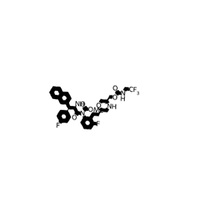 COC(=O)N(C(=O)[C@@H](N)[C@H](c1ccc(F)cc1)c1ccc2ccccc2c1)c1cccc(F)c1CC[C@@H]1CN[C@H](COC(=O)NCC(F)(F)F)CO1